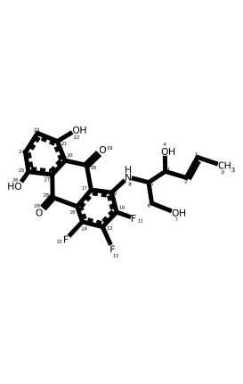 C/C=C/C(O)C(CO)Nc1c(F)c(F)c(F)c2c1C(=O)c1c(O)ccc(O)c1C2=O